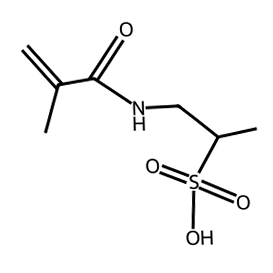 C=C(C)C(=O)NCC(C)S(=O)(=O)O